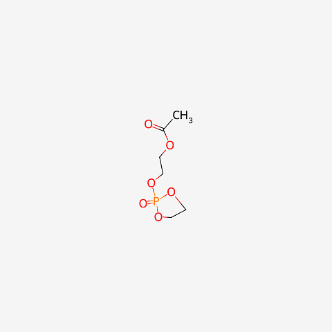 CC(=O)OCCOP1(=O)OCCO1